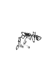 COCCN1CCN(Cc2ccc(-c3n[nH]c(-c4cccc(NC(=O)NN5CCOCC5)c4C=O)c3C)cc2)CC1